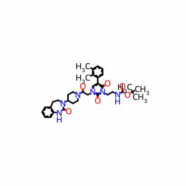 Cc1cccc(-c2cn(CC(=O)N3CCC(N4CCc5ccccc5NC4=O)CC3)c(=O)n(CCNC(=O)OC(C)(C)C)c2=O)c1C